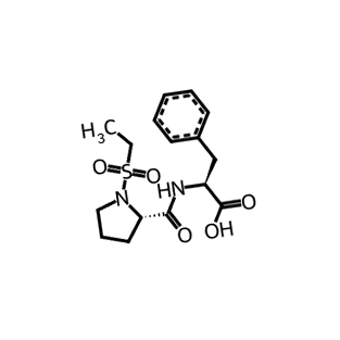 CCS(=O)(=O)N1CCC[C@H]1C(=O)N[C@@H](Cc1ccccc1)C(=O)O